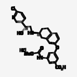 COC(=O)Nc1cc(Oc2ccc3c(c2)C[C@@H](NC[C@H](O)c2ccc(Cl)nc2)CC3)cc(C(=O)O)c1.Cl